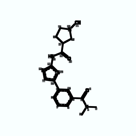 CN(C)C(=O)c1cccc(-c2cnc(NC(=O)C3CCN(C#N)C3)s2)c1